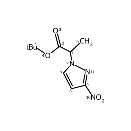 CC(C(=O)OC(C)(C)C)n1ccc([N+](=O)[O-])n1